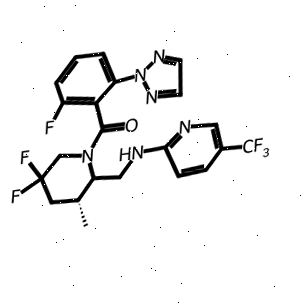 C[C@@H]1CC(F)(F)CN(C(=O)c2c(F)cccc2-n2nccn2)C1CNc1ccc(C(F)(F)F)cn1